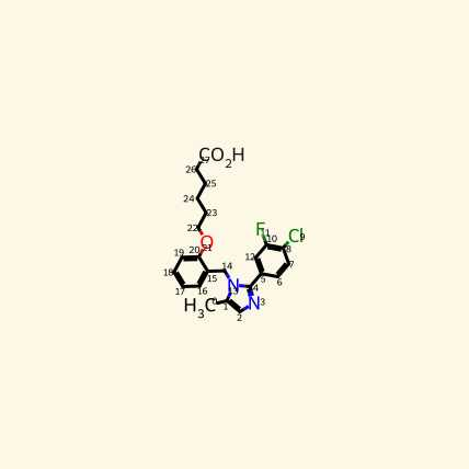 Cc1cnc(-c2ccc(Cl)c(F)c2)n1Cc1ccccc1OCCCCCC(=O)O